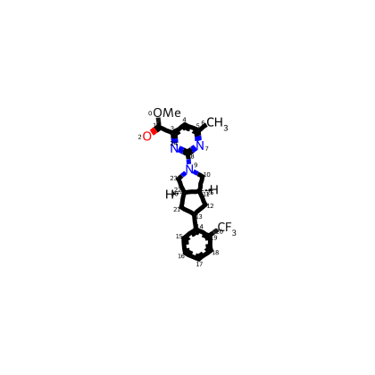 COC(=O)c1cc(C)nc(N2C[C@H]3CC(c4ccccc4C(F)(F)F)C[C@H]3C2)n1